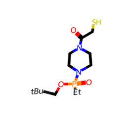 CCP(=O)(OCC(C)(C)C)N1CCN(C(=O)CS)CC1